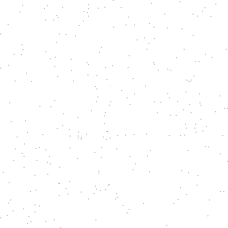 C=Cc1ccnc2ccc(OC(C)C(C)C)cc12